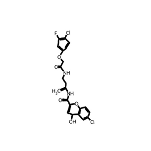 C=C(CCNC(=O)COc1ccc(Cl)c(F)c1)NC(=O)C1=CC(O)c2cc(Cl)ccc2O1